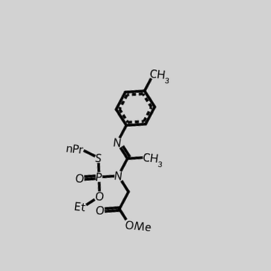 CCCSP(=O)(OCC)N(CC(=O)OC)C(C)=Nc1ccc(C)cc1